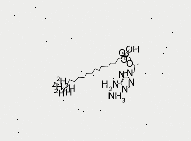 N.[2H]C([2H])([2H])C([2H])([2H])CCCCCCCCCCCCCOP(=O)(O)CO[C@H](C)Cn1cnc2c(N)ncnc21